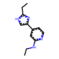 CCNc1cc(-c2c[nH]c(CC)n2)ccn1